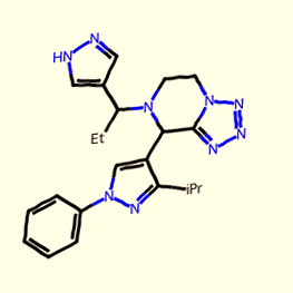 CCC(c1cn[nH]c1)N1CCn2nnnc2C1c1cn(-c2ccccc2)nc1C(C)C